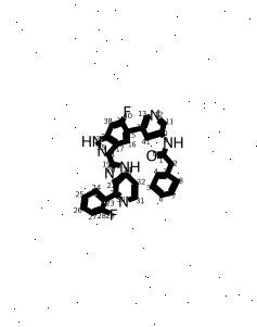 O=C(Cc1ccccc1)Nc1cncc(-c2cc3c(-c4nc5c(-c6ccccc6F)nccc5[nH]4)n[nH]c3cc2F)c1